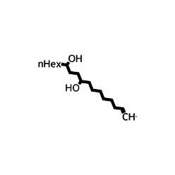 [CH]=CCCCCCCC(O)CCC(O)CCCCCC